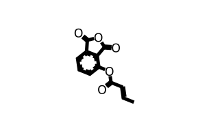 CC=CC(=O)Oc1cccc2c1C(=O)OC2=O